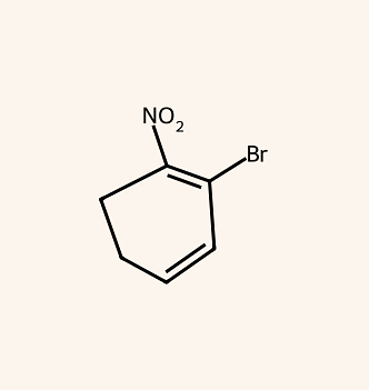 O=[N+]([O-])C1=C(Br)C=CCC1